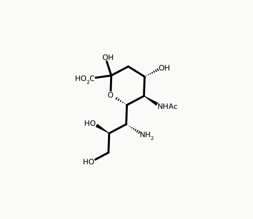 CC(=O)N[C@H]1[C@H]([C@H](N)[C@H](O)CO)OC(O)(C(=O)O)C[C@@H]1O